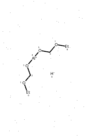 CCOC[O][Al+][O]COCC.[H-]